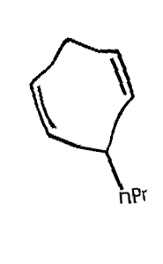 CCCC1C=CCC=C1